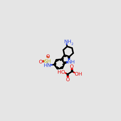 NC1CCc2[nH]c3ccc(N[SH](=O)=O)cc3c2C1.O=C(O)C(=O)O